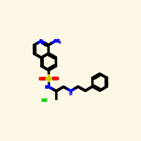 CC(CNCCc1ccccc1)NS(=O)(=O)c1ccc2c(N)nccc2c1.Cl